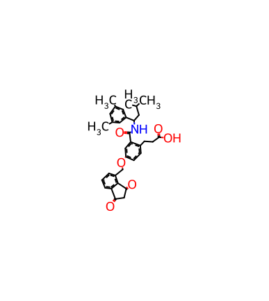 Cc1cc(C)cc(C(CC(C)C)NC(=O)c2cc(OCc3cccc4c3C(=O)CC4=O)ccc2CCC(=O)O)c1